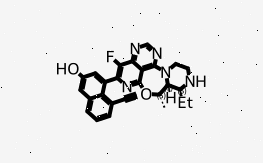 C#Cc1cccc2cc(O)cc(-c3nc4c5c(ncnc5c3F)N3CCN[C@@H](CC)[C@H]3[C@H](C)O4)c12